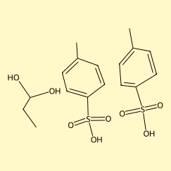 CCC(O)O.Cc1ccc(S(=O)(=O)O)cc1.Cc1ccc(S(=O)(=O)O)cc1